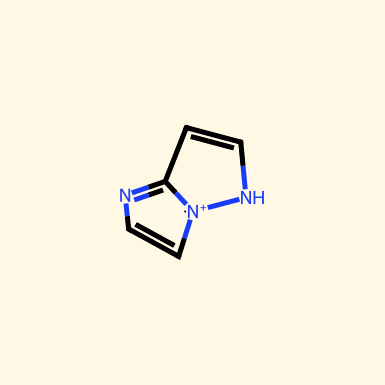 C1=C[N+]2NC=CC2=N1